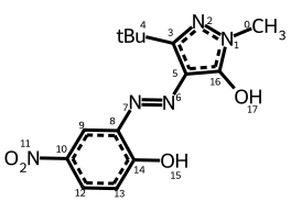 Cn1nc(C(C)(C)C)c(/N=N/c2cc([N+](=O)[O-])ccc2O)c1O